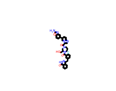 Nc1nc2cc(-c3ccc4ncc(C(=O)N5CCCN(C(=O)c6cc(Cc7n[nH]c(=O)c8ccccc78)ccc6F)C(CO)C5)n4c3)ccc2o1